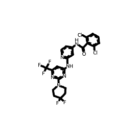 O=C(Nc1ccnc(Nc2cc(C(F)(F)F)nc(N3CCC(F)(F)CC3)n2)c1)c1c(Cl)cccc1Cl